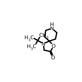 CC(C)(C)N1CC(=O)OC12CCNCC2